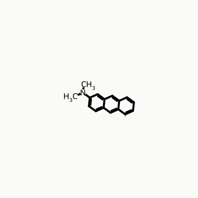 CN(C)c1ccc2cc3[c]cccc3cc2c1